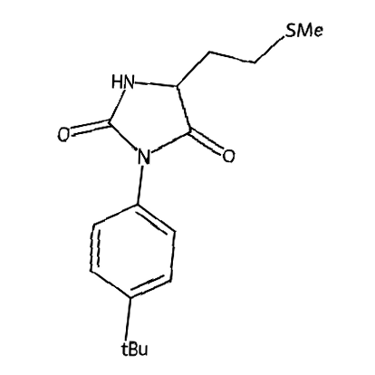 CSCCC1NC(=O)N(c2ccc(C(C)(C)C)cc2)C1=O